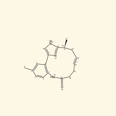 Cc1ccc2c(c1)-c1c[nH]c(n1)[C@@H](C)C/C=C/CCC(=O)N2